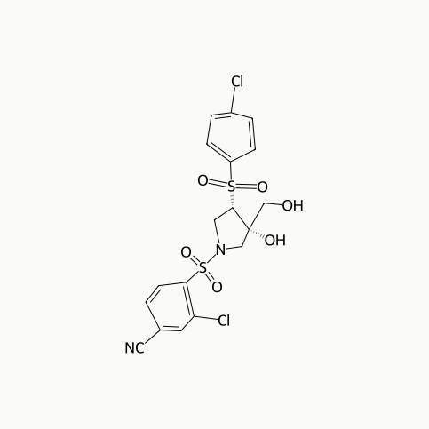 N#Cc1ccc(S(=O)(=O)N2C[C@H](S(=O)(=O)c3ccc(Cl)cc3)[C@@](O)(CO)C2)c(Cl)c1